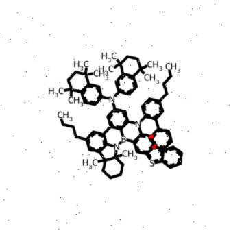 CCCCc1ccc(N2c3cc4c(cc3B3c5c(cc(N(c6ccc7c(c6)C(C)(C)CCC7(C)C)c6ccc7c(c6)C(C)(C)CCC7(C)C)cc52)-c2cc(CCCC)cc5c2N3C2(C)CCCCC52C)sc2ccccc24)c(-c2ccccc2)c1